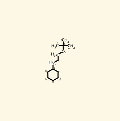 CC(C)(C)O[SiH2]CNC1CCCCC1